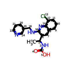 CC(NC(=O)O)c1cc2cccc(Cl)c2nc1NCc1cccnc1